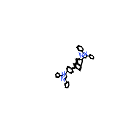 c1ccc(-c2cc(-c3ccc(-c4ccc5cc(-c6cc(-c7ccccc7)nc(-c7ccccc7)n6)ccc5c4)cc3)nc(-c3ccccc3)n2)cc1